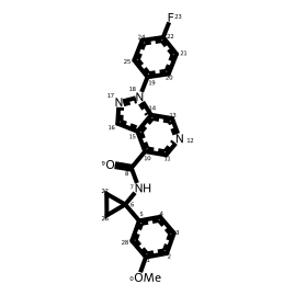 COc1cccc(C2(NC(=O)c3cncc4c3cnn4-c3ccc(F)cc3)CC2)c1